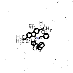 CC1=CC(C)[C](/[Zr+2](=[CH]/Cc2ccccc2)[CH]2c3cc(C(C)(C)C)ccc3-c3ccc(C(C)(C)C)cc32)=C1C12CC3CC(CC(C3)C1)C2.[Cl-].[Cl-]